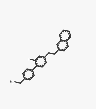 NCc1ccc(-c2ccc(CCc3ccc4ccccc4c3)cc2F)cc1